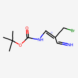 CC(C)(C)OC(=O)N/C=C(\C=N)CBr